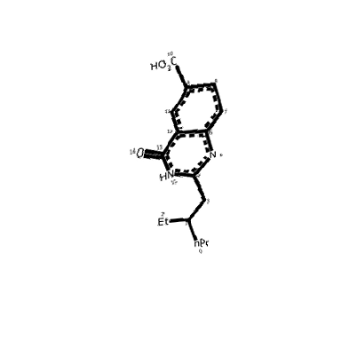 CCCC(CC)Cc1nc2ccc(C(=O)O)cc2c(=O)[nH]1